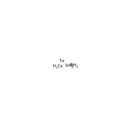 [BiH3].[CaH2].[SrH2].[Ta]